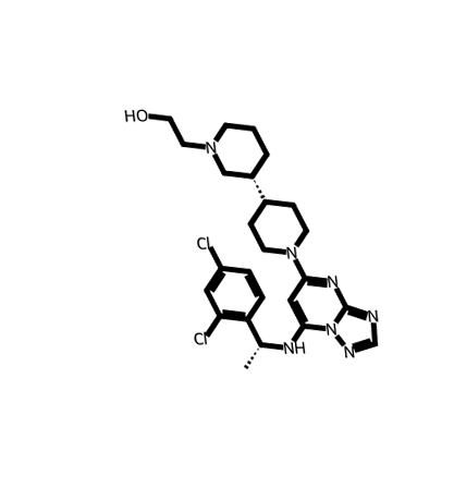 C[C@@H](Nc1cc(N2CCC([C@H]3CCCN(CCO)C3)CC2)nc2ncnn12)c1ccc(Cl)cc1Cl